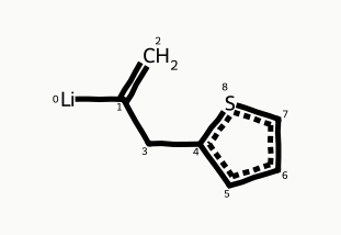 [Li][C](=C)Cc1cccs1